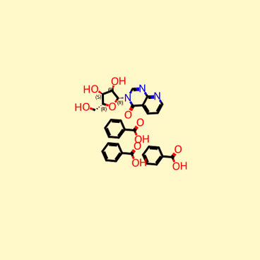 O=C(O)c1ccccc1.O=C(O)c1ccccc1.O=C(O)c1ccccc1.O=c1c2cccnc2ncn1[C@@H]1O[C@H](CO)[C@@H](O)[C@H]1O